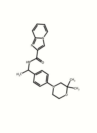 CC(NC(=O)c1cn2ccccc2n1)c1ccc(N2CCOC(C)(C)C2)cc1